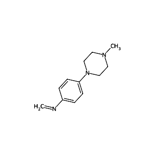 C=Nc1ccc(N2CCN(C)CC2)cc1